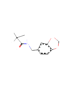 CCCCC(C)(C)C(=O)NCc1ccc2c(c1)OCO2